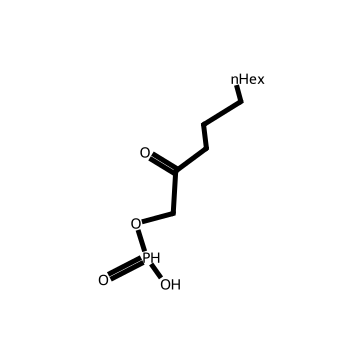 CCCCCCCCCC(=O)CO[PH](=O)O